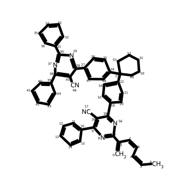 C=C(/C=C\C=C/C)c1nc(-c2ccccc2)c(C#N)c(-c2ccc(C3(c4ccc(-c5nc(-c6ccccc6)nc(-c6ccccc6)c5C#N)cc4)CCCCC3)cc2)n1